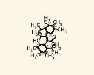 C=C(C)c1c(/C(C(=O)O)=C(\C(=O)O)c2cc(C)c(C)c(C)c2C(=C)C)cc(C)c(C)c1C